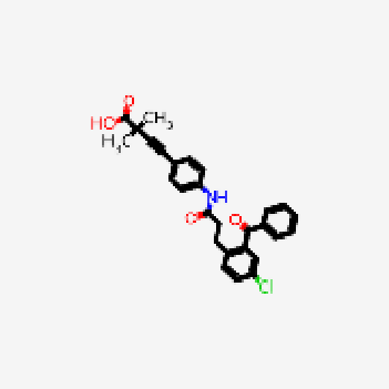 CC(C)(C#Cc1ccc(NC(=O)CCc2ccc(Cl)cc2C(=O)c2ccccc2)cc1)C(=O)O